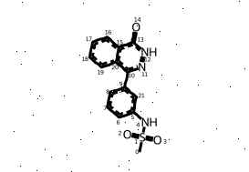 CS(=O)(=O)Nc1cccc(-c2n[nH]c(=O)c3ccccc23)c1